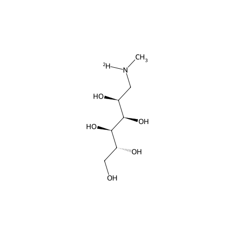 [2H]N(C)C[C@H](O)[C@@H](O)[C@H](O)[C@H](O)CO